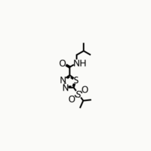 CC(C)CNC(=O)c1nnc(S(=O)(=O)C(C)C)s1